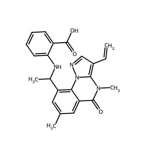 C=Cc1cnn2c3c(C(C)Nc4ccccc4C(=O)O)cc(C)cc3c(=O)n(C)c12